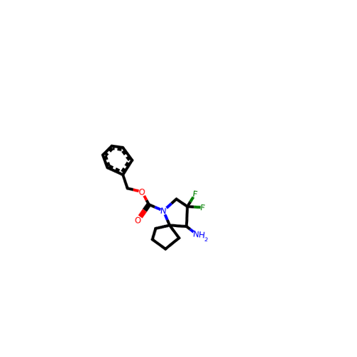 NC1C(F)(F)CN(C(=O)OCc2ccccc2)C12CCCC2